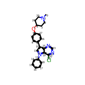 CN1CCC(Oc2ccc(-c3cn(-c4ccccc4)c4c(Cl)ncnc34)cc2)CC1